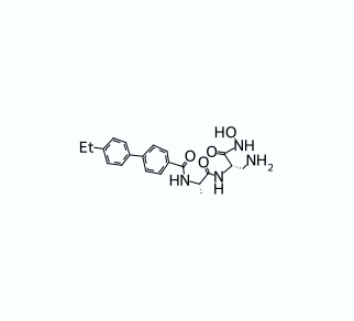 CCc1ccc(-c2ccc(C(=O)N[C@@H](C)C(=O)N[C@@H](CN)C(=O)NO)cc2)cc1